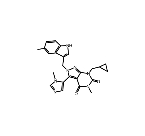 Cc1ccc2[nH]cc(Cn3nc4c(c3-c3cncn3C)c(=O)n(C)c(=O)n4CC3CC3)c2c1